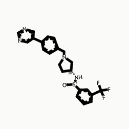 [O-][S+](N[C@@H]1CCN(Cc2ccc(-c3cncnc3)cc2)C1)c1cccc(C(F)(F)F)c1